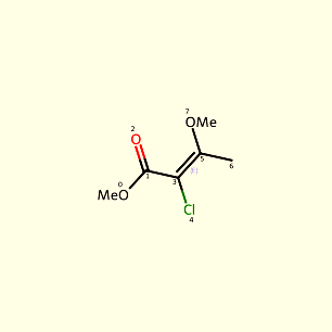 COC(=O)/C(Cl)=C(/C)OC